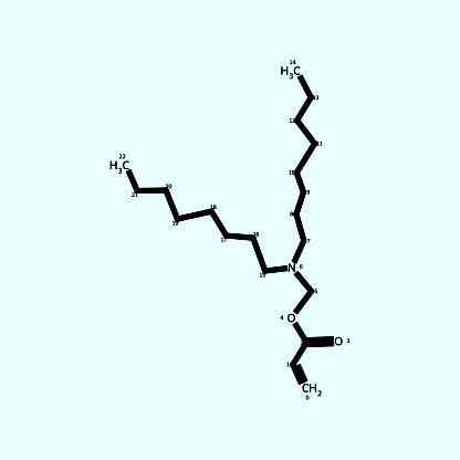 C=CC(=O)OCN(CCCCCCCC)CCCCCCCC